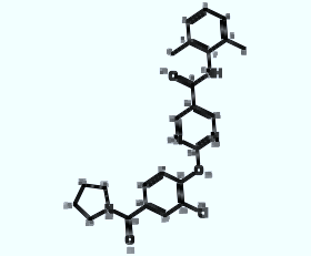 Cc1cccc(C)c1NC(=O)c1cnc(Oc2ccc(C(=O)N3CCCC3)cc2Cl)nc1